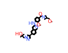 COCC1CN(C(=O)c2ccc(Nc3cc4cc(-c5cnn(CC(C)(C)O)c5)ccc4cn3)c(OC)c2)C1